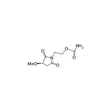 CO[C@@H]1CC(=O)N(CCOC(N)=O)C1=O